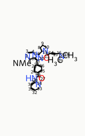 CNc1nccn2c(C3CCCN3C(=O)C#CCN(C)C)nc(-c3ccc(C(=O)Nc4ccccn4)cc3)c12